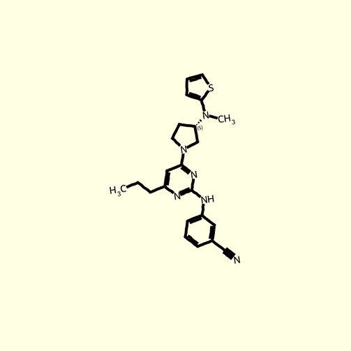 CCCc1cc(N2CC[C@H](N(C)c3cccs3)C2)nc(Nc2cccc(C#N)c2)n1